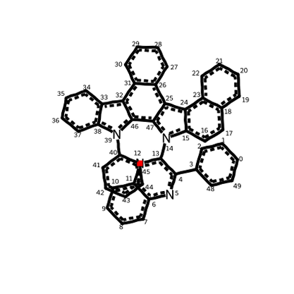 c1ccc(-c2nc3ccccc3nc2-n2c3ccc4ccccc4c3c3c4ccccc4c4c5ccccc5n(-c5ccccc5)c4c32)cc1